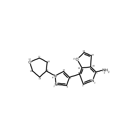 Nc1ncc(-c2cnn(C3CCOCC3)c2)c2occc12